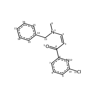 CN(/C=C\C(=O)c1cccc(Cl)n1)Cc1ccccc1